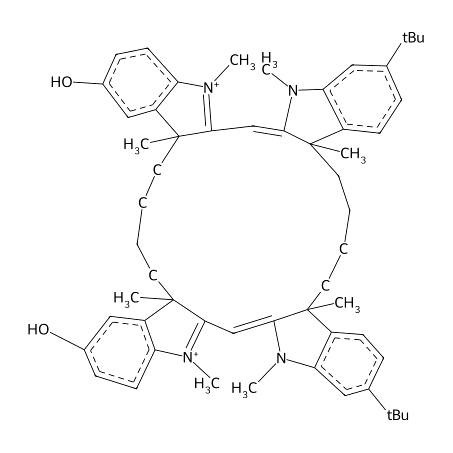 CN1C2=CC3=[N+](C)c4ccc(O)cc4C3(C)CCCCC3(C)C(=[N+](C)c4ccc(O)cc43)C=C3N(C)c4cc(C(C)(C)C)ccc4C3(C)CCCCC2(C)c2ccc(C(C)(C)C)cc21